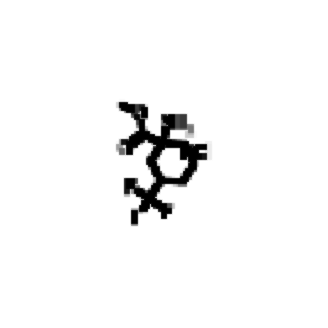 COC(=O)C1(N)CCCC(C(F)(F)F)C1.Cl